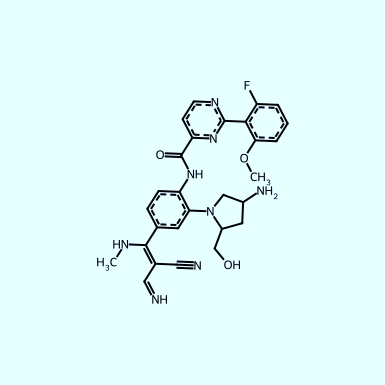 CN/C(=C(/C#N)C=N)c1ccc(NC(=O)c2ccnc(-c3c(F)cccc3OC)n2)c(N2CC(N)CC2CO)c1